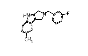 Cc1ccc2[nH]c3c(c2c1)CN(Cc1cccc(F)c1)C3